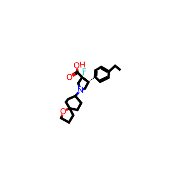 CCc1ccc([C@@H]2CN(C3CCC4(CCCO4)CC3)C[C@@]2(F)C(=O)O)cc1